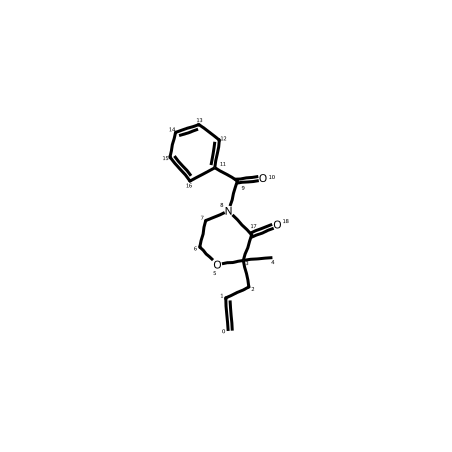 C=CCC1(C)OCCN(C(=O)c2ccccc2)C1=O